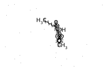 CCCCCC[C@@H]1C(=O)O[C@H]1C[C@H](O)COS(=O)(=O)c1ccc(C)cc1